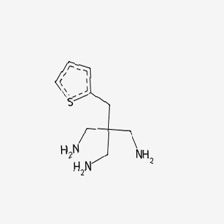 NCC(CN)(CN)Cc1cccs1